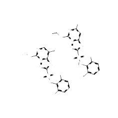 CCOc1nc(F)cc2nc(S(=O)(=O)Nc3c(Cl)cccc3Cl)nn12.COc1ncc(F)c2nc(S(=O)(=O)Nc3c(F)cccc3F)nn12